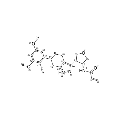 C=CC(=O)N[C@H]1COC[C@H]1c1n[nH]c2c1CCC(c1cc(OC)cc(OC)c1F)C2